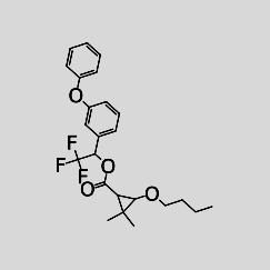 CCCCOC1C(C(=O)OC(c2cccc(Oc3ccccc3)c2)C(F)(F)F)C1(C)C